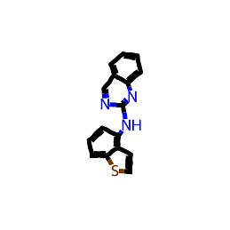 c1ccc2nc(Nc3cccc4sccc34)ncc2c1